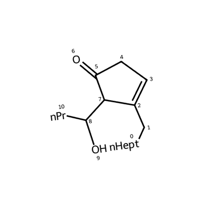 CCCCCCCCC1=CCC(=O)C1C(O)CCC